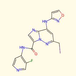 O=C(Nc1ccncc1F)c1cnc2c(Nc3ccon3)cc(CI)nn12